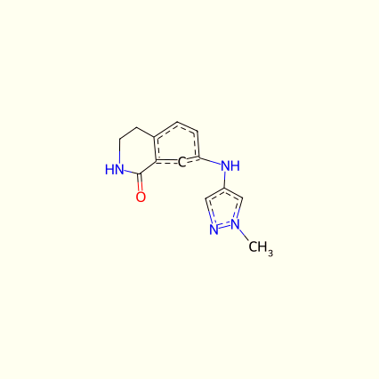 Cn1cc(Nc2ccc3c(c2)C(=O)NCC3)cn1